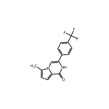 Cc1ccc2c(=O)[nH]c(-c3ccc(C(F)(F)F)cc3)cn12